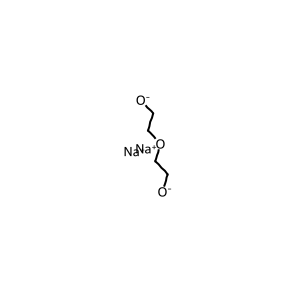 [Na+].[Na+].[O-]CCOCC[O-]